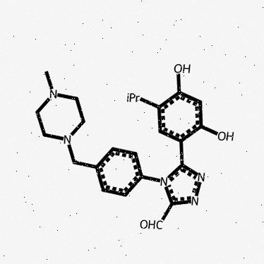 CC(C)c1cc(-c2nnc(C=O)n2-c2ccc(CN3CCN(C)CC3)cc2)c(O)cc1O